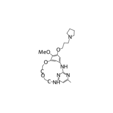 COc1c(OCCCN2CCCC2)cc2cc1OCCOCCNc1cc(C)nc(n1)N2